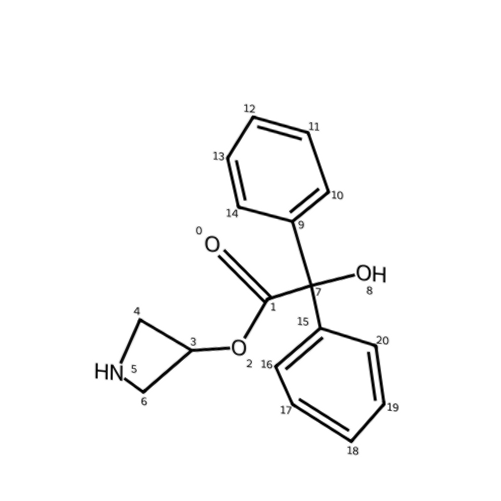 O=C(OC1CNC1)C(O)(c1ccccc1)c1ccccc1